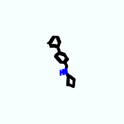 [c]1cccc(-c2ccc(CNC3CCC3)cc2)c1